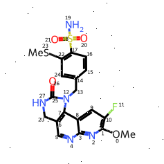 COc1nc2ncc3c(c2cc1F)N(Cc1ccc(S(N)(=O)=O)c(SC)c1)C(=O)NC3